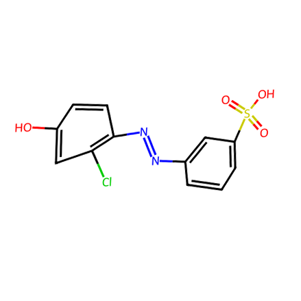 O=S(=O)(O)c1cccc(N=Nc2ccc(O)cc2Cl)c1